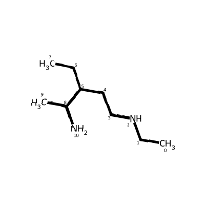 CCNCCC(CC)C(C)N